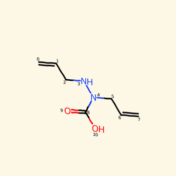 C=CCNN(CC=C)C(=O)O